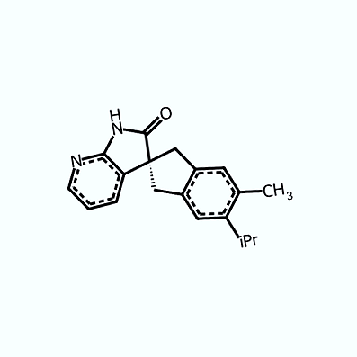 Cc1cc2c(cc1C(C)C)C[C@@]1(C2)C(=O)Nc2ncccc21